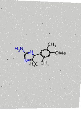 COc1cc(C)c(-c2nc(N)cnc2C)cc1C